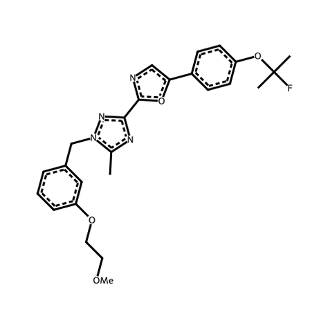 COCCOc1cccc(Cn2nc(-c3ncc(-c4ccc(OC(C)(C)F)cc4)o3)nc2C)c1